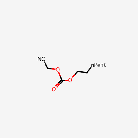 CCCCCCCOC(=O)OCC#N